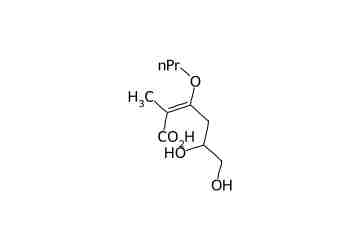 CCCOC(CC(O)CO)=C(C)C(=O)O